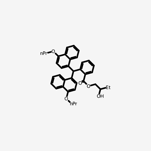 CCCOc1ccc(C(c2ccccc2C(=O)OCC(O)CC)c2ccc(OCCC)c3ccccc23)c2ccccc12